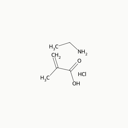 C=C(C)C(=O)O.CCN.Cl